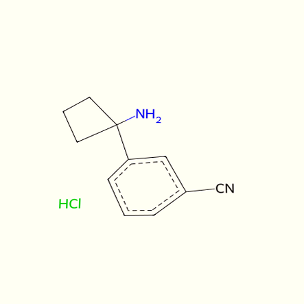 Cl.N#Cc1cccc(C2(N)CCC2)c1